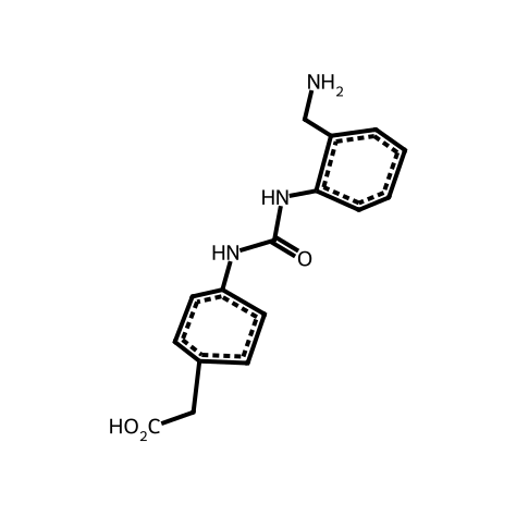 NCc1ccccc1NC(=O)Nc1ccc(CC(=O)O)cc1